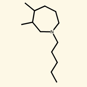 CCCCCN1CCCC(C)C(C)C1